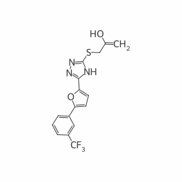 C=C(O)CSc1nnc(-c2ccc(-c3cccc(C(F)(F)F)c3)o2)[nH]1